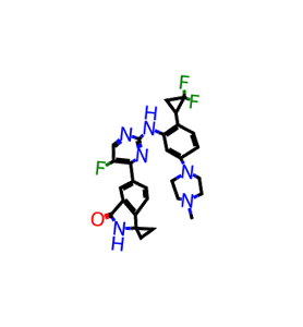 CN1CCN(c2ccc(C3CC3(F)F)c(Nc3ncc(F)c(-c4ccc5c(c4)C(=O)NC54CC4)n3)c2)CC1